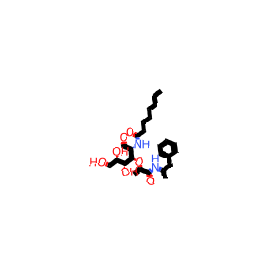 CCCCCCCC(=O)N[C@@H](C=O)[C@@H](OC(C)C(=O)NC(C)Cc1ccccc1)[C@H](O)[C@H](O)CO